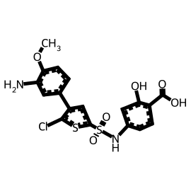 COc1ccc(-c2cc(S(=O)(=O)Nc3ccc(C(=O)O)c(O)c3)sc2Cl)cc1N